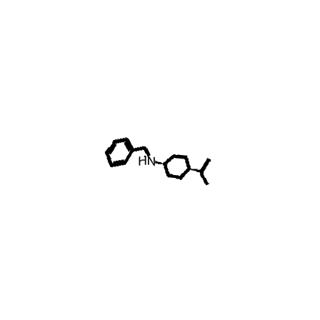 CC(C)[C@H]1CC[C@@H](NCc2ccccc2)CC1